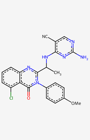 COc1ccc(-n2c(C(C)Nc3nc(N)ncc3C#N)nc3cccc(Cl)c3c2=O)cc1